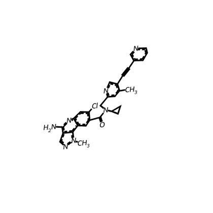 Cc1cc(CN(C(=O)c2cc3c(cc2Cl)nc(N)c2cnn(C)c23)C2CC2)ncc1C#Cc1cccnc1